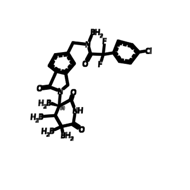 BC1C(B)(B)C(=O)NC(=O)[C@@]1(B)N1Cc2cc(CN(B)C(=O)C(F)(F)c3ccc(Cl)cc3)ccc2C1=O